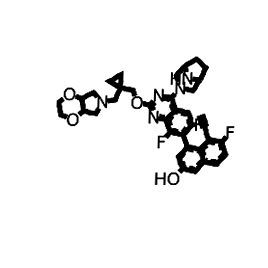 C#Cc1c(F)ccc2cc(O)cc(-c3c(F)cc4c(N5CC6CCC(C5)N6)nc(OCC5(CN6CC7OCCOC7C6)CC5)nc4c3F)c12